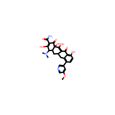 COc1cncc(-c2ccc(O)c3c2CC2CC4C(N(C)C)C(O)=C(C(N)=O)C(=O)C4(O)C(O)=C2C3=O)c1